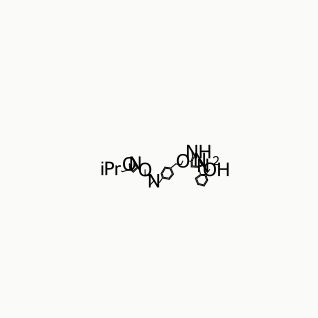 CC(C)Cc1cc(OCCN(C)Cc2ccc(CCOc3cc(-c4ccccc4O)nnc3N)cc2)no1